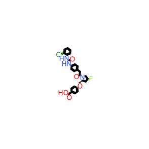 O=C(Nc1ccc(CC(=O)N2C[C@@H](F)C[C@H]2COc2ccc(C(=O)O)cc2)cc1)Nc1ccccc1Cl